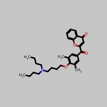 CCCCN(CCCC)CCCCOc1c(C)cc(C(=O)c2cc(=O)c3ccccc3o2)cc1C